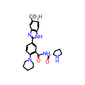 O=C(O)c1ccc2[nH]c(-c3ccc(N4CCCCC4)c(C(=O)NC(=O)[C@@H]4CCCN4)c3)nc2c1